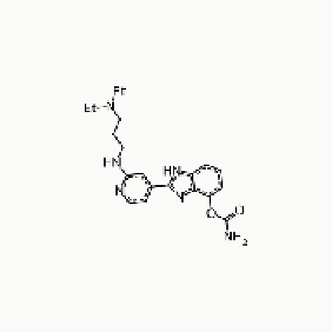 CCN(CC)CCCNc1cc(-c2nc3c(OC(N)=O)cccc3[nH]2)ccn1